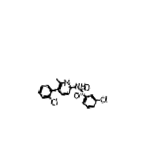 Cc1nc(NS(=O)(=O)c2cccc(Cl)c2)ccc1-c1ccccc1Cl